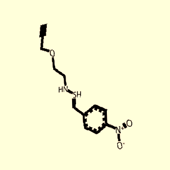 C#CCOCCN[SH]=Cc1ccc([N+](=O)[O-])cc1